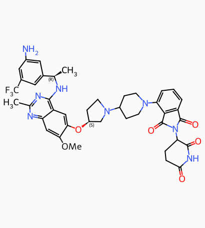 COc1cc2nc(C)nc(N[C@H](C)c3cc(N)cc(C(F)(F)F)c3)c2cc1O[C@H]1CCN(C2CCN(c3cccc4c3C(=O)N(C3CCC(=O)NC3=O)C4=O)CC2)C1